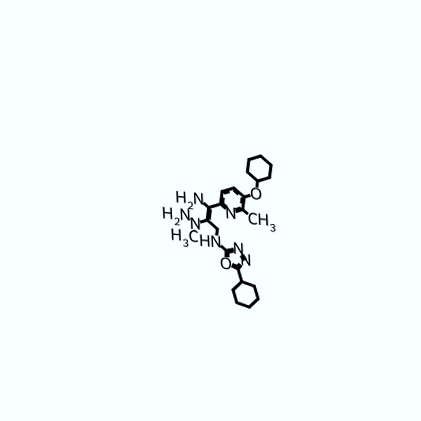 Cc1nc(/C(N)=C(\CNc2nnc(C3CCCCC3)o2)N(C)N)ccc1OC1CCCCC1